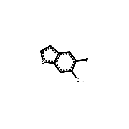 Cc1cc2sccc2cc1F